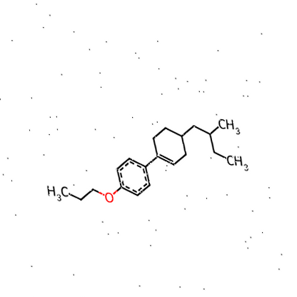 CCCOc1ccc(C2=CCC(CC(C)CC)CC2)cc1